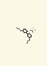 CC(Cn1c2ccc(C(=O)CCCl)cc2c2cc(C(=O)CCCl)ccc21)N(C)C